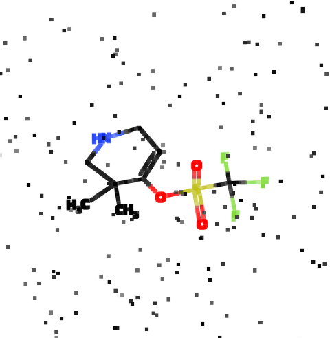 CC1(C)CNCC=C1OS(=O)(=O)C(F)(F)F